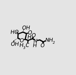 CC(C(=O)NCC(N)=O)C1O[C@H](CO)[C@@H](O)[C@H](O)C1O